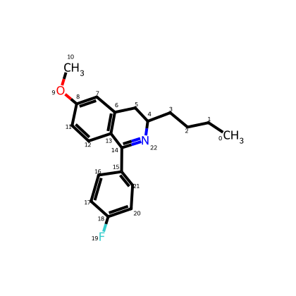 CCCCC1Cc2cc(OC)ccc2C(c2ccc(F)cc2)=N1